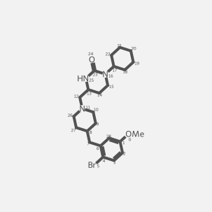 COc1ccc(Br)c(CC2CCN(CC3CCN(C4CCCCC4)C(=O)N3)CC2)c1